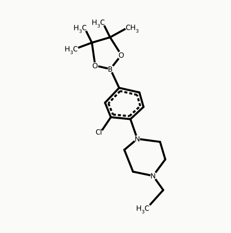 CCN1CCN(c2ccc(B3OC(C)(C)C(C)(C)O3)cc2Cl)CC1